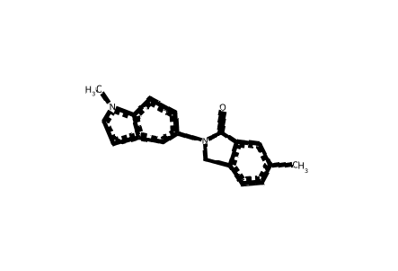 Cc1ccc2c(c1)C(=O)N(c1ccc3c(ccn3C)c1)C2